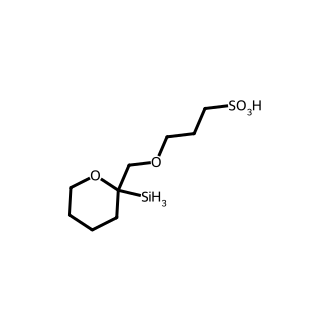 O=S(=O)(O)CCCOCC1([SiH3])CCCCO1